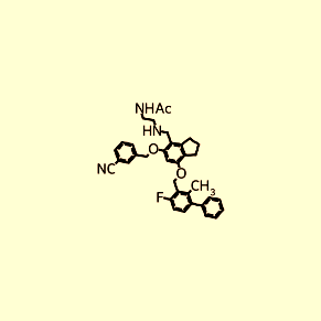 CC(=O)NCCNCc1c(OCc2cccc(C#N)c2)cc(OCc2c(F)ccc(-c3ccccc3)c2C)c2c1CCC2